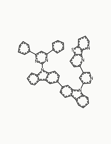 c1ccc(-c2cc(-c3ccccc3)nc(-n3c4ccccc4c4cc(-c5ccc6c7ccccc7n(-c7cncc(-c8ccc9sc%10cccnc%10c9n8)c7)c6c5)ccc43)n2)cc1